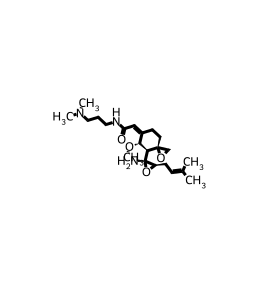 CO[C@@H]1/C(=C\C(=O)NCCCN(C)C)CC[C@]2(CO2)[C@H]1[C@@]1(N)O[C@@H]1CC=C(C)C